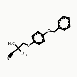 CC(C)(C#N)COc1ccc(OCc2ccccc2)cc1